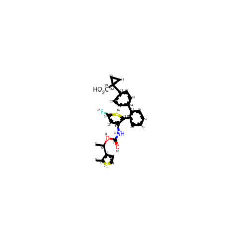 Cc1sccc1C(C)OC(=O)Nc1cc(F)sc1-c1ccccc1-c1ccc(C2(C(=O)O)CC2)cc1